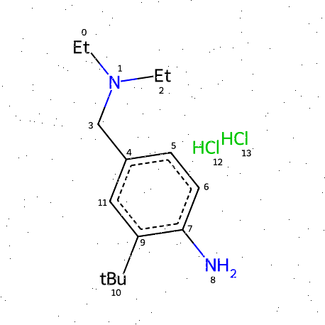 CCN(CC)Cc1ccc(N)c(C(C)(C)C)c1.Cl.Cl